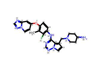 Cc1c(Oc2ccn3ncnc3c2)ccc(Nc2ncnn3ccc(CN4CCC(N)CC4)c23)c1F